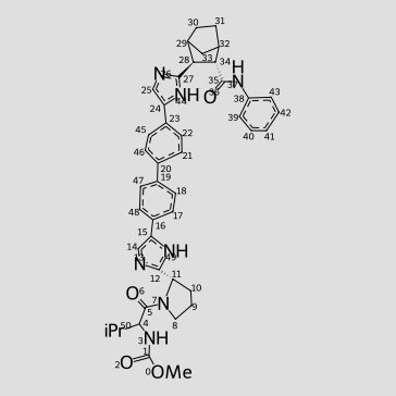 COC(=O)NC(C(=O)N1CCC[C@H]1c1ncc(-c2ccc(-c3ccc(-c4cnc([C@H]5C6CCC(C6)[C@@H]5C(=O)Nc5ccccc5)[nH]4)cc3)cc2)[nH]1)C(C)C